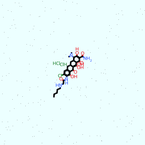 CCCCCNCC(=O)Nc1c(Cl)cc2c(c1O)C(=O)C1=C(O)C3(O)C(=O)C(C(N)=O)=C(O)[C@@H](N(C)C)C3CC1C2.Cl.Cl